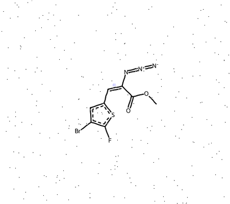 COC(=O)/C(=C\c1cc(Br)c(F)s1)N=[N+]=[N-]